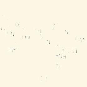 CC[C@@H]1C[C@H](C)CC/C=C\[C@@H]2C[C@@]2(C(=O)NS(=O)(=O)C2CC2)NC(=O)[C@@H]2C[C@@H](Oc3nc(OC)cc4ccccc34)CN2C(=O)[C@H]1NC(=O)O